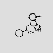 OC(CC1c2cccc(F)c2-c2cncn21)C1CCCCC1